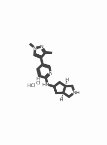 Cc1nn(C)cc1-c1ccc(NC2C[C@H]3CNC[C@H]3C2)nc1.Cl.Cl